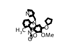 COc1ccc(N(Cc2cccnc2)c2cccc(C)c2C(=O)N=S(=O)=O)cc1OC1CCCC1